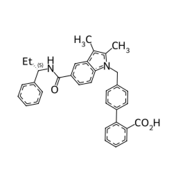 CC[C@H](NC(=O)c1ccc2c(c1)c(C)c(C)n2Cc1ccc(-c2ccccc2C(=O)O)cc1)c1ccccc1